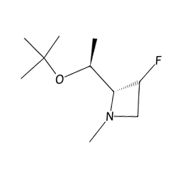 C[C@H](OC(C)(C)C)[C@@H]1C(F)CN1C